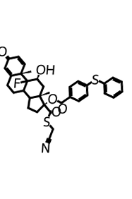 C[C@]12C=CC(=O)C=C1CCC1C3CC[C@](OC(=O)c4ccc(Sc5ccccc5)cc4)(C(=O)SCC#N)[C@@]3(C)C[C@H](O)C12F